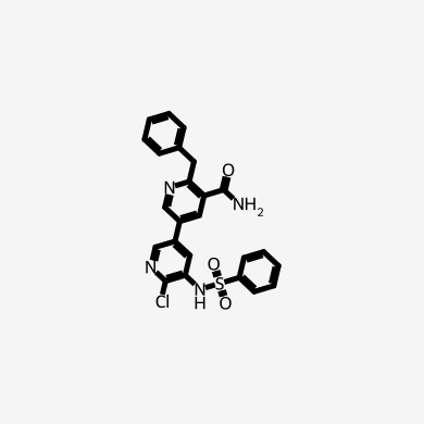 NC(=O)c1cc(-c2cnc(Cl)c(NS(=O)(=O)c3ccccc3)c2)cnc1Cc1ccccc1